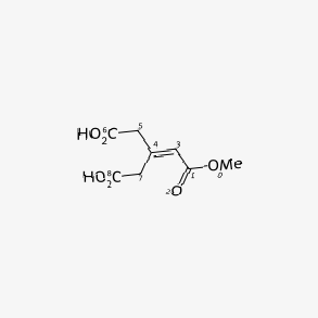 COC(=O)C=C(CC(=O)O)CC(=O)O